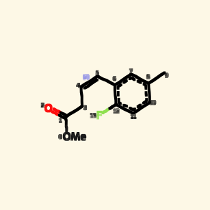 COC(=O)C/C=C\c1cc(C)ccc1F